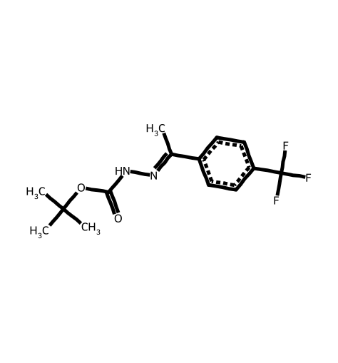 CC(=NNC(=O)OC(C)(C)C)c1ccc(C(F)(F)F)cc1